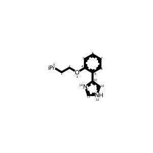 CC(C)CCOc1ccccc1-c1c[nH]cn1